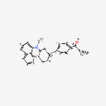 CCN(c1cccc2ccccc12)C1CCCC(c2ccc(C(=O)NC)cc2)C1